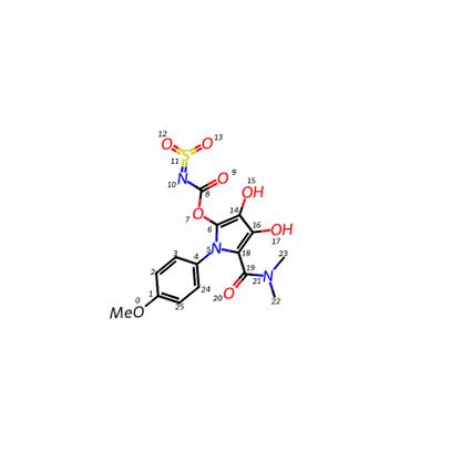 COc1ccc(-n2c(OC(=O)N=S(=O)=O)c(O)c(O)c2C(=O)N(C)C)cc1